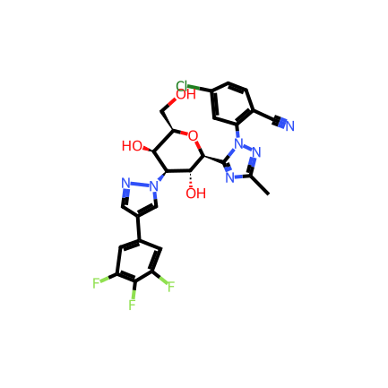 Cc1nc([C@@H]2O[C@H](CO)[C@H](O)[C@H](n3cc(-c4cc(F)c(F)c(F)c4)cn3)[C@H]2O)n(-c2cc(Cl)ccc2C#N)n1